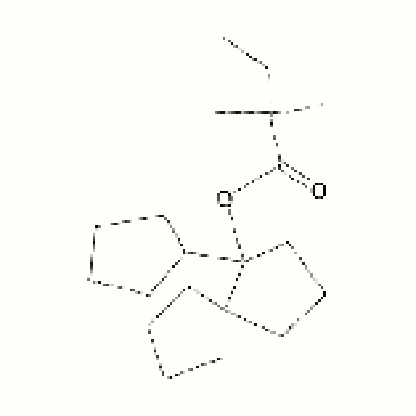 CCC(C)(C)C(=O)OC1(C2CCCC2)CCCC12CCCC2